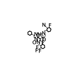 N#Cc1c(F)cccc1CN1CCC2(CC1)OCc1c2c(=O)n(CC(N)c2ccccc2)c(=O)n1Cc1c(F)cccc1C(F)(F)F